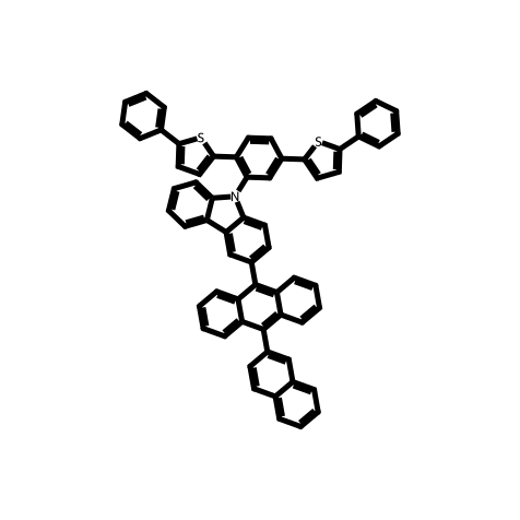 c1ccc(-c2ccc(-c3ccc(-c4ccc(-c5ccccc5)s4)c(-n4c5ccccc5c5cc(-c6c7ccccc7c(-c7ccc8ccccc8c7)c7ccccc67)ccc54)c3)s2)cc1